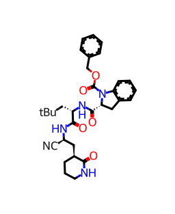 CC(C)(C)C[C@H](NC(=O)[C@H]1Cc2ccccc2N1C(=O)OCc1ccccc1)C(=O)N[C@H](C#N)C[C@@H]1CCCNC1=O